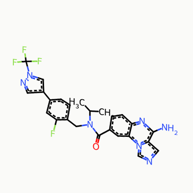 CC(C)N(Cc1ccc(-c2cnn(C(F)(F)F)c2)cc1F)C(=O)c1ccc2nc(N)c3cncn3c2c1